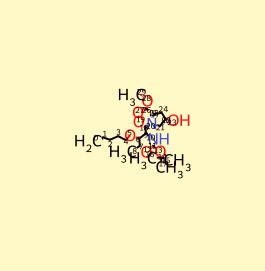 C=CCCCOC(CC)C(NC(=O)OC(C)(C)C)C(=O)N1C[C@H](O)C[C@H]1C(=O)OC